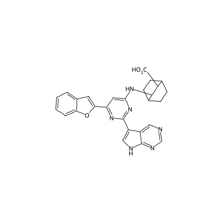 O=C(O)C1C2CCC(CC2)C1Nc1cc(-c2cc3ccccc3o2)nc(-c2c[nH]c3ncncc23)n1